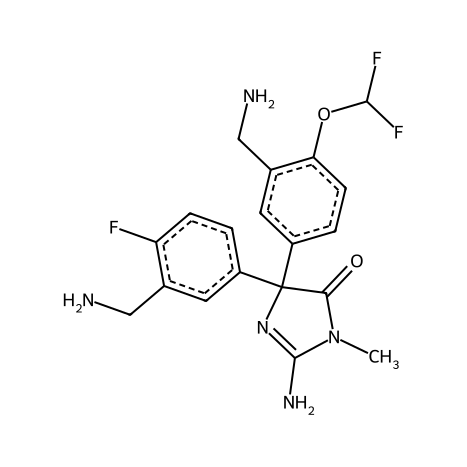 CN1C(=O)C(c2ccc(F)c(CN)c2)(c2ccc(OC(F)F)c(CN)c2)N=C1N